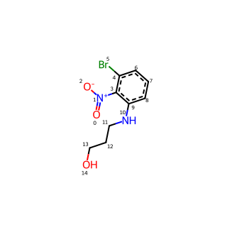 O=[N+]([O-])c1c(Br)cccc1NCCCO